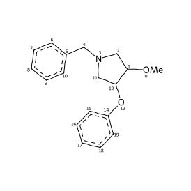 COC1CN(Cc2ccccc2)CC1Oc1ccccc1